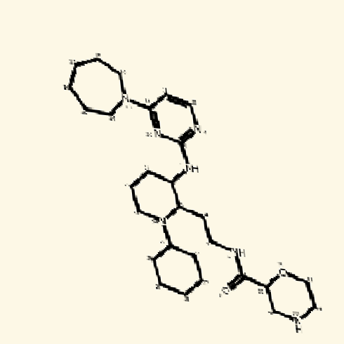 O=C(NCCC1C(Nc2nccc(N3CCCCCC3)n2)CCCN1C1CCCCC1)C1CNCCO1